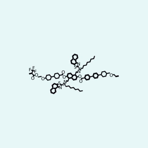 C=CCOCC1CCC(c2ccc(-c3ccc(C(=O)Oc4ccc5c(/C=N/N(CCCCCCCC)c6nc7c(ccc8ccccc87)s6)c(OC(=O)C6CCC(C7CCC(OCCOC(=O)C(=C)C(F)(F)F)CC7)CC6)ccc5c4/C=N/N(CCCCCCCC)c4nc5c(ccc6ccccc65)s4)cc3)cc2)CC1